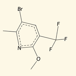 COc1nc(C)c(Br)cc1C(F)(F)F